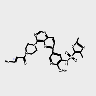 COc1ncc(-c2ccc3ncnc(N4CCN(C(=O)/C=C/C(C)=O)CC4)c3n2)cc1NS(=O)(=O)c1sc(C)nc1C